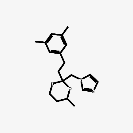 Cc1cc(C)cc(CCC2(Cn3ccnc3)OCCC(C)O2)c1